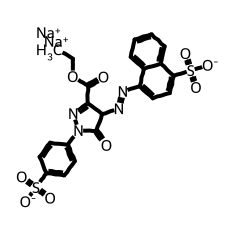 CCOC(=O)C1=NN(c2ccc(S(=O)(=O)[O-])cc2)C(=O)C1N=Nc1ccc(S(=O)(=O)[O-])c2ccccc12.[Na+].[Na+]